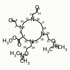 COC(=O)C1CN(CC=O)CCN(CC=O)CCCN(CCON(C)C)CCN(CCON(C)C)C1